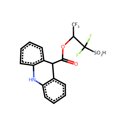 O=C(OC(C(F)(F)F)C(F)(F)S(=O)(=O)O)C1c2ccccc2Nc2ccccc21